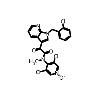 CN(C(=O)C(=O)c1cn(Cc2ccccc2Cl)c2ncccc12)c1c(Cl)c[n+]([O-])cc1Cl